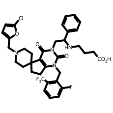 O=C(O)CCCNC(Cn1c(=O)c2c(n(Cc3c(F)cccc3C(F)(F)F)c1=O)CCC21CCN(Cc2ccc(Cl)o2)CC1)c1ccccc1